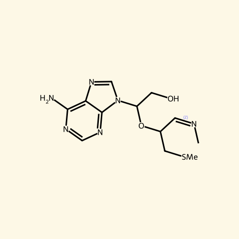 C/N=C\C(CSC)OC(CO)n1cnc2c(N)ncnc21